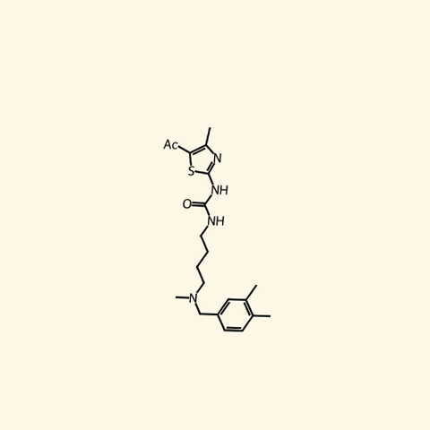 CC(=O)c1sc(NC(=O)NCCCCN(C)Cc2ccc(C)c(C)c2)nc1C